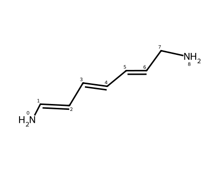 N/C=C/C=C/C=C/CN